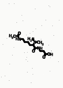 CC(=O)NCCCCC(C(=O)NCCC(=O)O)N(C)C